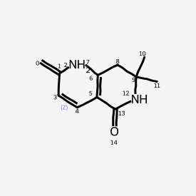 C=C(N)/C=C\C1=C(C)CC(C)(C)NC1=O